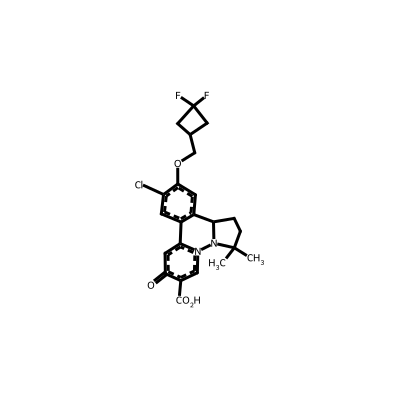 CC1(C)CCC2c3cc(OCC4CC(F)(F)C4)c(Cl)cc3-c3cc(=O)c(C(=O)O)cn3N21